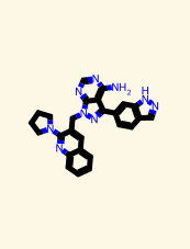 Nc1ncnc2c1c(-c1ccc3cn[nH]c3c1)nn2Cc1cc2ccccc2nc1N1CCCC1